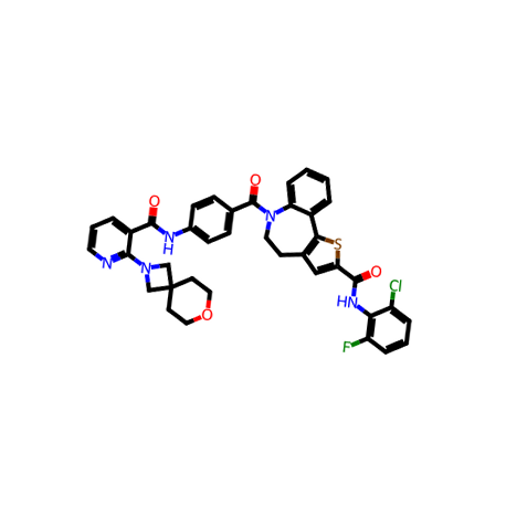 O=C(Nc1c(F)cccc1Cl)c1cc2c(s1)-c1ccccc1N(C(=O)c1ccc(NC(=O)c3cccnc3N3CC4(CCOCC4)C3)cc1)CC2